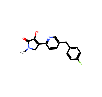 CN1CC(c2ccc(Cc3ccc(F)cc3)cn2)=C(O)C1=O